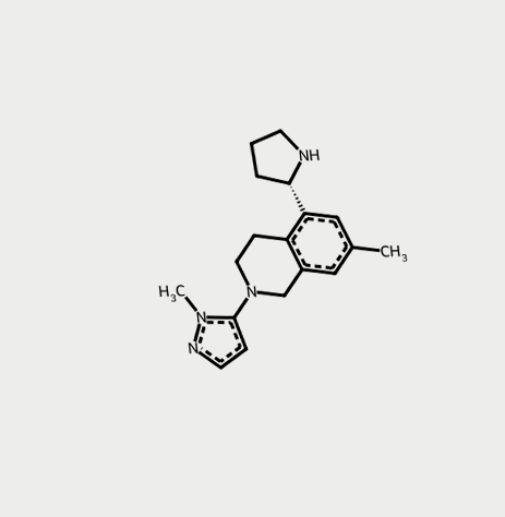 Cc1cc2c(c([C@@H]3CCCN3)c1)CCN(c1ccnn1C)C2